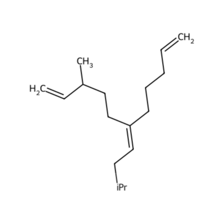 C=CCCCC(=CCC(C)C)CCC(C)C=C